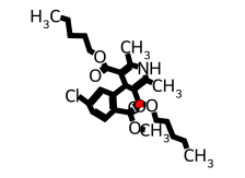 CCCCCOC(=O)C1=C(C)NC(C)=C(C(=O)OCCCCC)C1c1cc(Cl)ccc1C(=O)OC